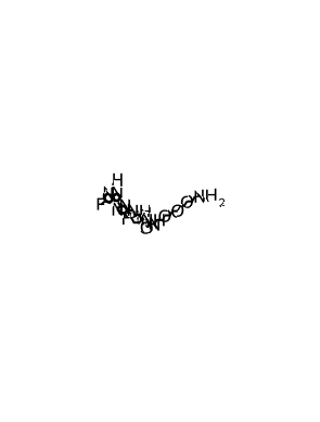 CN(CCOCCOCCOCCN)C(=O)N[C@@H]1CCC[C@H](Nc2nc(-c3c[nH]c4ncc(F)cc34)ncc2F)C1